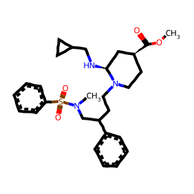 COC(=O)[C@H]1CCN(CCC(CN(C)S(=O)(=O)c2ccccc2)c2ccccc2)[C@@H](NCC2CC2)C1